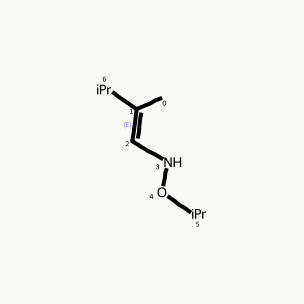 C/C(=C\NOC(C)C)C(C)C